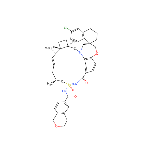 CO[C@H]1/C=C/C[C@H](C)C[S@@](=O)(NC(=O)c2ccc3c(c2)CCOC3)=NC(=O)c2ccc3c(c2)N(C[C@@H]2CC[C@H]21)C[C@@]1(CCCc2cc(Cl)ccc21)CO3